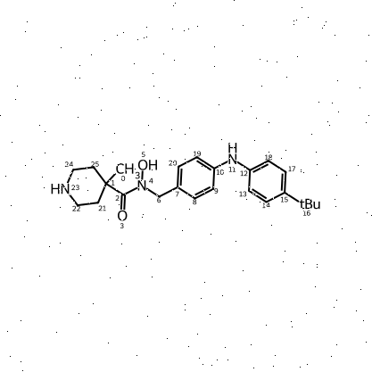 CC1(C(=O)N(O)Cc2ccc(Nc3ccc(C(C)(C)C)cc3)cc2)CCNCC1